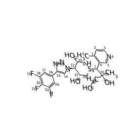 Cc1ccncc1C([SH]1C[C@H](O)[C@H](n2cc(-c3cc(F)c(F)c(F)c3)nn2)[C@@H](O)[C@H]1CO)C(C)(C)O